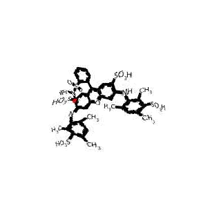 Cc1cc(C)c(S(=O)(=O)O)c(C)c1/N=c1\cc2oc3cc(Nc4c(C)cc(C)c(S(=O)(=O)O)c4C)c(S(=O)(=O)O)cc3c(-c3ccccc3S(=O)(=O)N(C(C)C)C(C)C)c-2cc1S(=O)(=O)O